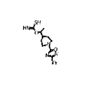 CC(C)c1noc(N2CCC(C(C)OC(=N)S)CC2)n1